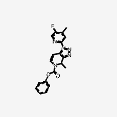 Cc1cc(-n2nnc3c2C=CN(C(=O)Oc2ccccc2)C3C)ncc1F